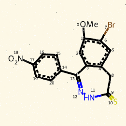 COc1cc2c(cc1Br)CC(=S)NN=C2c1ccc([N+](=O)[O-])cc1